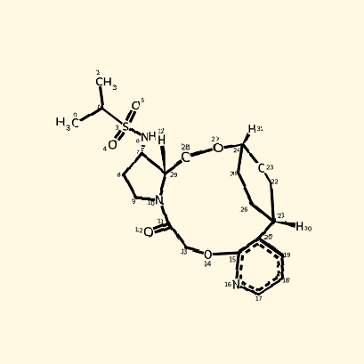 CC(C)S(=O)(=O)N[C@H]1CCN2C(=O)COc3ncccc3[C@H]3CC[C@H](CC3)OC[C@@H]12